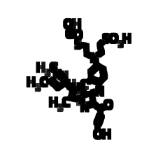 Cc1cc(N(CCSOOO)CCS(=O)(=O)O)ccc1/N=C1/C(C(=O)C#CO)=Nn2c1nc(-c1cc(C)n(C)n1)c2C